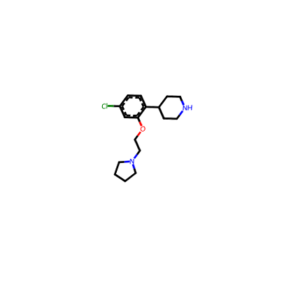 Clc1ccc(C2CCNCC2)c(OCCN2CCCC2)c1